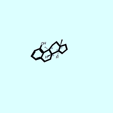 C[C@@]12CCC[C@H]1[C@@H]1CCc3cccc(O)c3[C@@]1(C)CC2